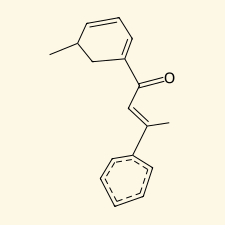 C/C(=C\C(=O)C1=CC=CC(C)C1)c1ccccc1